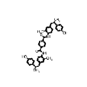 Cc1cc(CC(C)c2ccc(O)cc2)ccc1NC(=O)c1ccc(C(=O)Nc2ccc(CC(C)c3ccc(O)cc3)cc2C)cc1